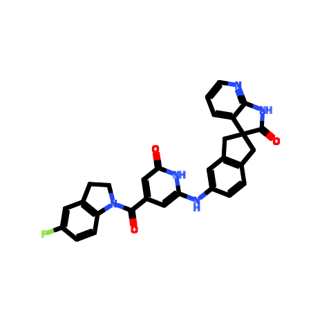 O=C(c1cc(Nc2ccc3c(c2)CC2(C3)C(=O)Nc3ncccc32)[nH]c(=O)c1)N1CCc2cc(F)ccc21